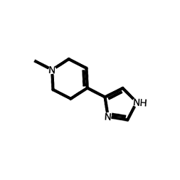 CN1CC=C(c2c[nH]cn2)CC1